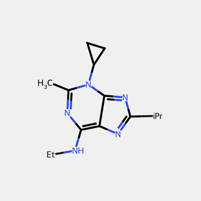 CCNc1nc(C)n(C2CC2)c2nc(C(C)C)nc1-2